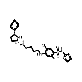 O=S(=O)(Nc1nccs1)c1cc(Cl)c(NCCCCNC[C@@H]2CC[C@H](c3ccccc3)N2)cc1F